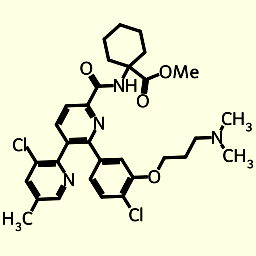 COC(=O)C1(NC(=O)c2ccc(-c3ncc(C)cc3Cl)c(-c3ccc(Cl)c(OCCCN(C)C)c3)n2)CCCCC1